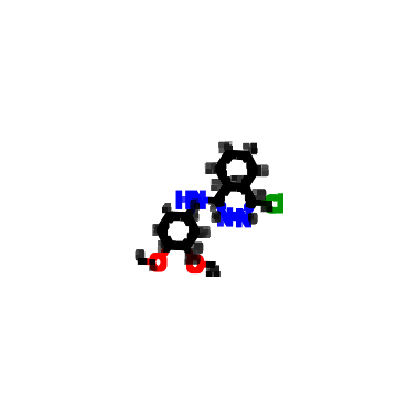 COc1ccc(Nc2nnc(Cl)c3ccccc23)cc1OC